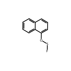 FSOc1cccc2ccccc12